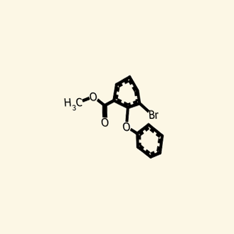 COC(=O)c1cccc(Br)c1Oc1ccccc1